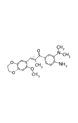 COc1cc2c(cc1/C=C(\C)C(=O)c1ccc(N)c(N(C)C)c1)OCCO2